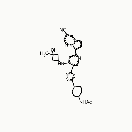 CC(=O)NC1CCC(c2nnc(-c3cnc(-c4ccc5cc(C#N)cnn45)cc3NC3CC(C)(O)C3)s2)CC1